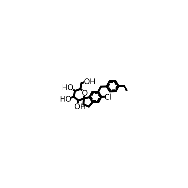 CCc1ccc(Cc2cc3c(cc2Cl)CCC32OC(CO)C(O)C(O)C2O)cc1